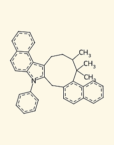 CC1CCc2c(n(-c3ccccc3)c3ccc4ccccc4c23)Cc2ccc3ccccc3c2C1(C)C